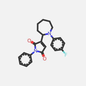 O=C1C=C(C2CCCCCN2c2ccc(F)cc2)C(=O)N1c1ccccc1